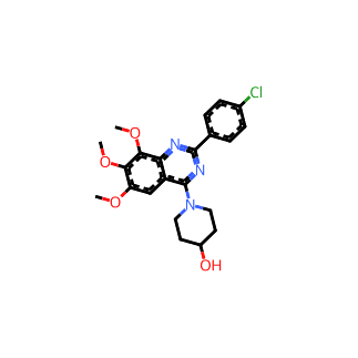 COc1cc2c(N3CCC(O)CC3)nc(-c3ccc(Cl)cc3)nc2c(OC)c1OC